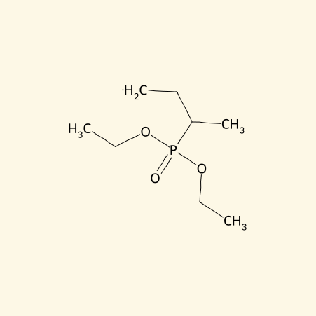 [CH2]CC(C)P(=O)(OCC)OCC